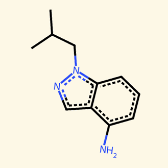 CC(C)Cn1ncc2c(N)cccc21